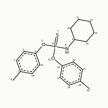 Cc1ccc(OP(=S)(NC2CCCCC2)Oc2ccc(C)cc2)cc1